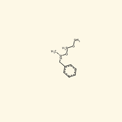 C[SiH](Cc1ccccc1)O[SiH2]O[SiH3]